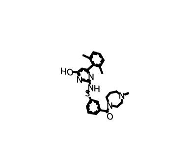 Cc1cccc(C)c1-c1cc(O)nc(NSc2cccc(C(=O)N3CCCN(C)CC3)c2)n1